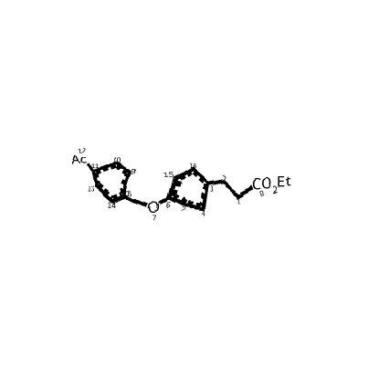 CCOC(=O)CCc1ccc(Oc2ccc(C(C)=O)cc2)cc1